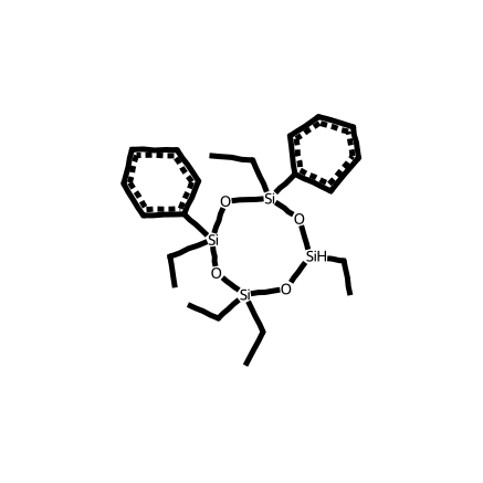 CC[SiH]1O[Si](CC)(CC)O[Si](CC)(c2ccccc2)O[Si](CC)(c2ccccc2)O1